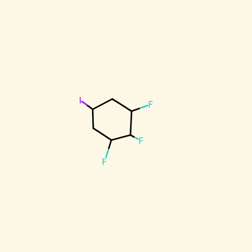 FC1CC(I)CC(F)C1F